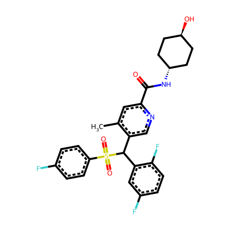 Cc1cc(C(=O)N[C@H]2CC[C@H](O)CC2)ncc1C(c1cc(F)ccc1F)S(=O)(=O)c1ccc(F)cc1